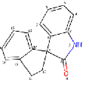 O=C1Nc2ccccc2C12CCc1ccccc12